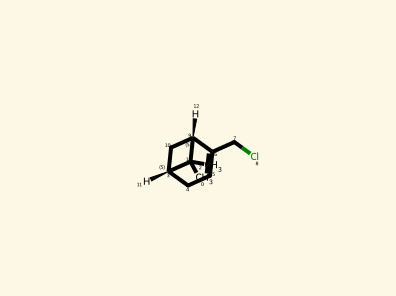 CC1(C)[C@@H]2CC=C(CCl)[C@H]1C2